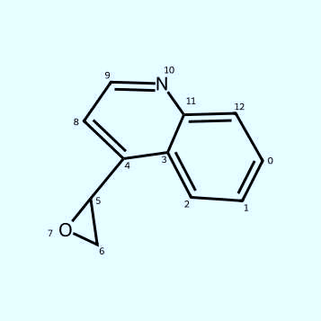 c1ccc2c(C3CO3)ccnc2c1